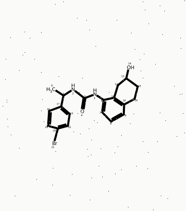 CC(NC(=O)Nc1cccc2c1CC(O)CC2)c1ccc(Br)cc1